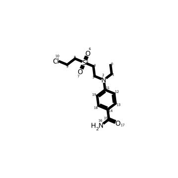 CCN(CCS(=O)(=O)CCCl)c1ccc(C(N)=O)cc1